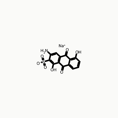 Nc1cc2c(c(O)c1S(=O)(=O)[O-])C(=O)c1cccc(O)c1C2=O.[Na+]